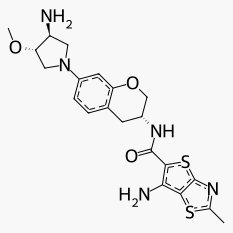 CO[C@H]1CN(c2ccc3c(c2)OC[C@H](NC(=O)c2sc4nc(C)sc4c2N)C3)C[C@@H]1N